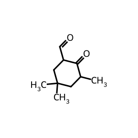 CC1CC(C)(C)CC(C=O)C1=O